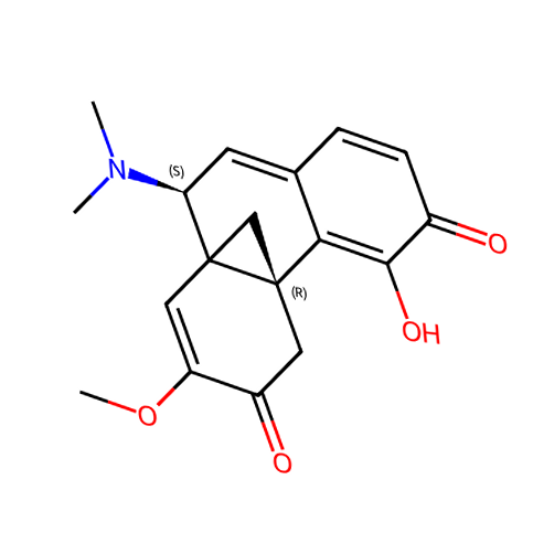 COC1=CC23C[C@]2(CC1=O)C1=C(O)C(=O)C=CC1=C[C@@H]3N(C)C